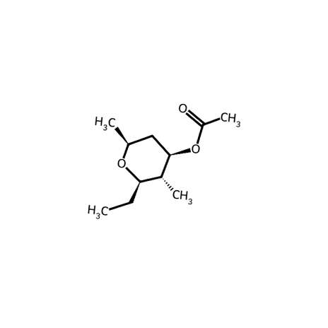 CC[C@H]1O[C@@H](C)C[C@@H](OC(C)=O)[C@@H]1C